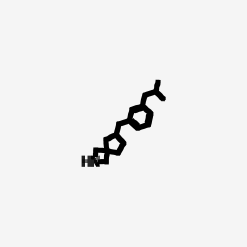 CC(C)Cc1cccc(CC2CCC3(CNC3)C2)c1